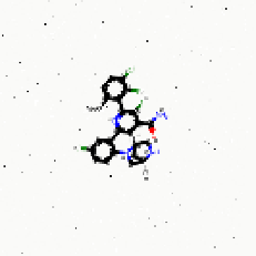 COc1ccc(Cl)c(F)c1-c1nc(-c2cc(F)ccc2N2C[C@H]3C[C@@H]2CN3)cc(C(N)=O)c1F